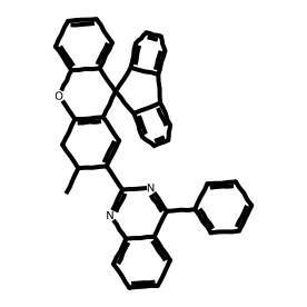 CC1CC2=C(C=C1c1nc(-c3ccccc3)c3ccccc3n1)C1(c3ccccc3O2)c2ccccc2-c2ccccc21